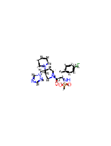 CS(=O)(=O)N[C@@H](Cc1ccc(F)cc1)C(=O)N1CCC(Cn2cncn2)(N2CCCCC2)CC1